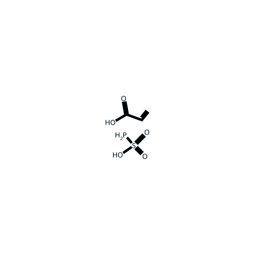 C=CC(=O)O.O=S(=O)(O)P